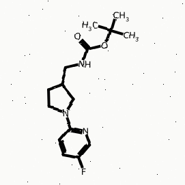 CC(C)(C)OC(=O)NCC1CCN(c2ccc(F)cn2)C1